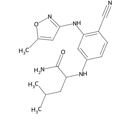 Cc1cc(Nc2cc(NC(CC(C)C)C(N)=O)ccc2C#N)no1